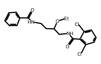 CCOC(CCNC(=O)c1ccccc1)CNC(=O)c1c(Cl)cccc1Cl